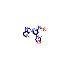 C[C@@H]1COCCN1c1cc(N=S(C)(C)=O)nc(-n2cnc3cccnc32)c1